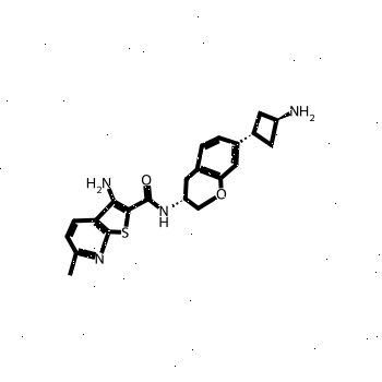 Cc1ccc2c(N)c(C(=O)N[C@H]3COc4cc([C@H]5C[C@H](N)C5)ccc4C3)sc2n1